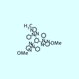 COc1ccc2nc(-c3cc(-c4nc5ccc(C)nc5n4-c4ccccc4)cc(-c4nc5ccc(OC)nc5n4-c4ccccc4)c3)n(-c3ccccc3)c2n1